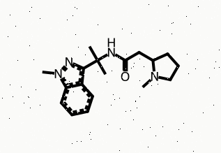 CN1CCCC1CC(=O)NC(C)(C)c1nn(C)c2ccccc12